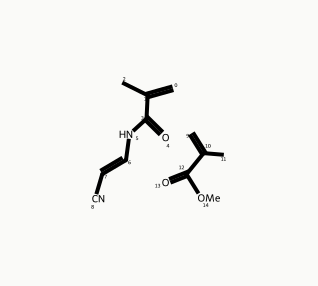 C=C(C)C(=O)NC=CC#N.C=C(C)C(=O)OC